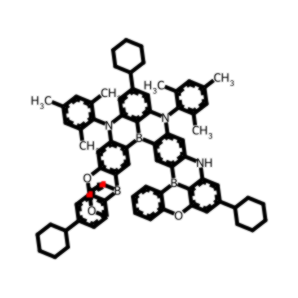 Cc1cc(C)c(N2c3cc4c(cc3B3c5cc6c(cc5N(c5c(C)cc(C)cc5C)c5cc(C7CCCCC7)cc2c53)Oc2cc(C3CCCCC3)cc3c2B6c2ccccc2O3)B2c3ccccc3Oc3cc(C5CCCCC5)cc(c32)N4)c(C)c1